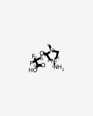 CN1CCN(N)CC1=O.O=C(O)C(F)(F)F